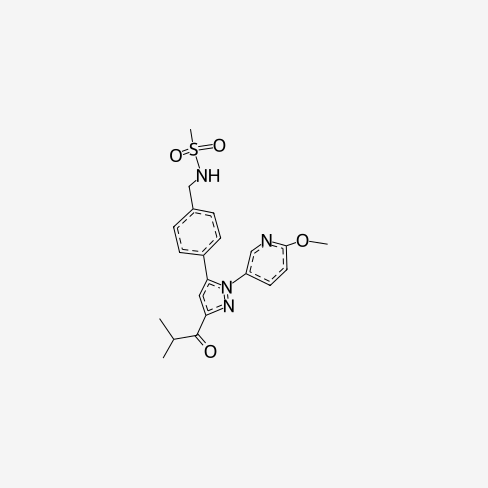 COc1ccc(-n2nc(C(=O)C(C)C)cc2-c2ccc(CNS(C)(=O)=O)cc2)cn1